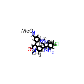 CO/N=C/c1cccc(-c2cc(=O)n(C)c3ccc(C(N)(c4ccc(Cl)cc4)c4cncn4C)cc23)c1